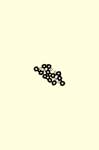 c1ccc(N(c2cccc3c2oc2ccccc23)c2cc3c(c4oc5ccccc5c24)-c2c(cc(N(c4ccccc4)c4cccc5c4oc4ccccc45)c4c2oc2ccccc24)C32c3ccccc3-c3ccccc32)cc1